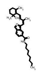 CCCCCCCCNC(=O)c1ccc2coc(C=C(C)C=CC3=C(C)CCCC3(C)C)c2c1